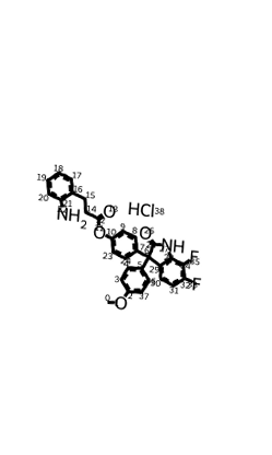 COc1ccc(C2(c3ccc(OC(=O)CCc4ccccc4N)cc3)C(=O)Nc3c2ccc(F)c3F)cc1.Cl